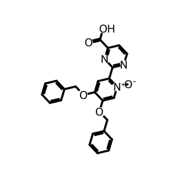 O=C(O)c1ccnc(-c2cc(OCc3ccccc3)c(OCc3ccccc3)c[n+]2[O-])n1